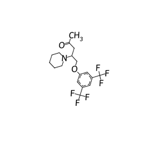 CC(=O)CC(COc1cc(C(F)(F)F)cc(C(F)(F)F)c1)N1CCCCC1